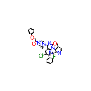 Cc1ccnc(C(C)C)c1-n1c(=O)nc(N2CCN(C(=O)COc3ccccc3)C[C@@H]2C)c2cc(Cl)c(-c3ccccc3F)nc21